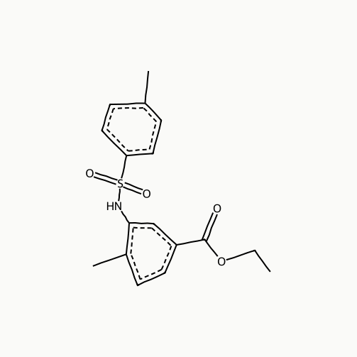 CCOC(=O)c1ccc(C)c(NS(=O)(=O)c2ccc(C)cc2)c1